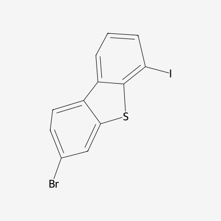 Brc1ccc2c(c1)sc1c(I)cccc12